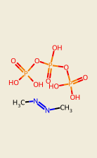 CN=NC.O=P(O)(O)OP(=O)(O)OP(=O)(O)O